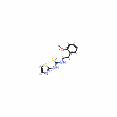 COc1ccccc1CCNC(=S)Nc1nccs1